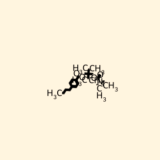 CCCCc1ccc(C(=O)OCC(COC(=O)N(CC)CC)(C(C)C)C(C)C)cc1